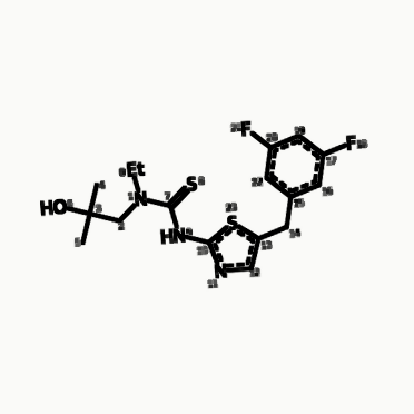 CCN(CC(C)(C)O)C(=S)Nc1ncc(Cc2cc(F)cc(F)c2)s1